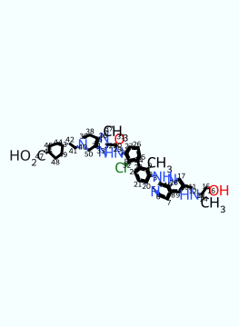 Cc1c(Nc2nccc3cc(CN[C@H](C)CO)cnc23)cccc1-c1cccc(NC(=O)c2nc3c(n2C)CCN(CC[C@H]2CC[C@H](C(=O)O)CC2)C3)c1Cl